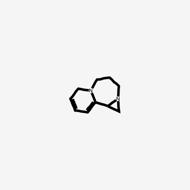 C1=CCN2CCCN3CC3C2=C1